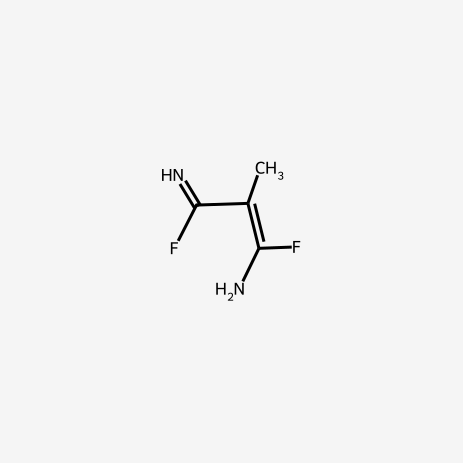 C/C(C(=N)F)=C(/N)F